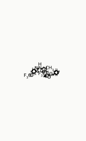 CN(CC(=O)Nc1nc2ccc(OC(F)(F)F)cc2s1)C(=O)CN(C(=O)OCc1ccccc1)C1(C(F)(F)F)CC1